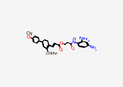 COc1cc(-c2ccc(OC#N)cc2)ccc1/C=C/C(=O)OCCC(=O)Nc1ccc(N)cc1N